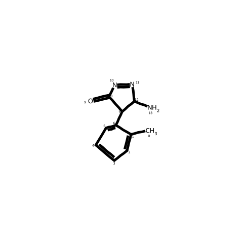 Cc1ccccc1C1C(=O)N=NC1N